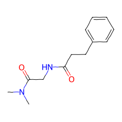 CN(C)C(=O)CNC(=O)CCc1ccccc1